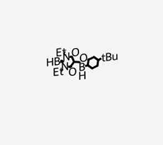 B=C1N(CC)C(=O)C(C2BC3CCC(C(C)(C)C)CC3O2)C(=O)N1CC